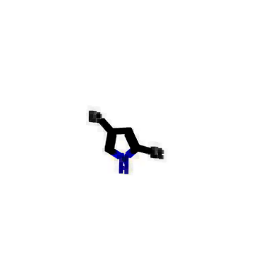 CCc1c[nH]c(CC)c1